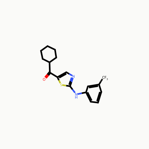 O=C(c1cnc(Nc2cccc(C(F)(F)F)c2)s1)C1CCCCC1